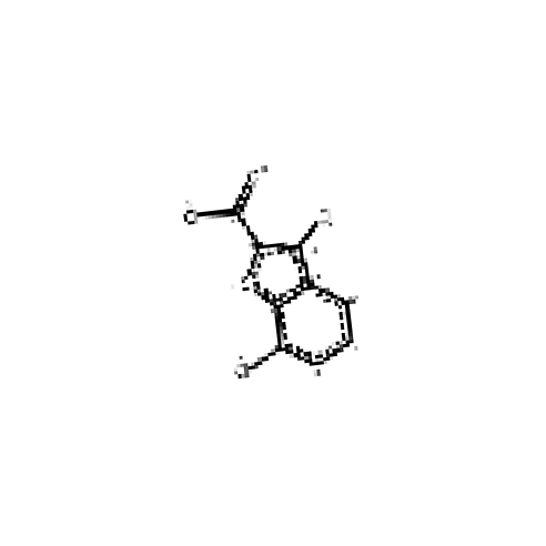 O=C(Cl)c1sc2c(Cl)cccc2c1Cl